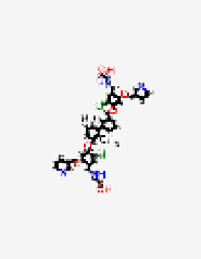 Cc1c(COc2cc(OCc3cccnc3)c(CNCCO)cc2Cl)cccc1-c1cccc(COc2cc(OCc3cccnc3)c(CNCCO)cc2Cl)c1C